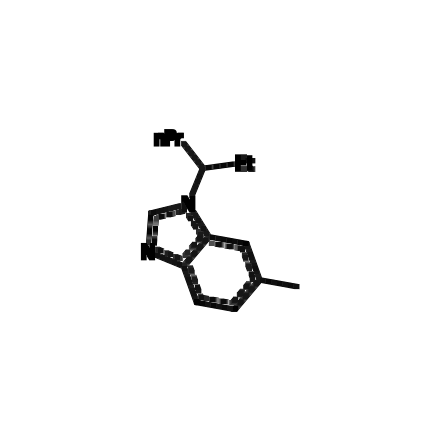 CCCC(CC)n1cnc2ccc(C)cc21